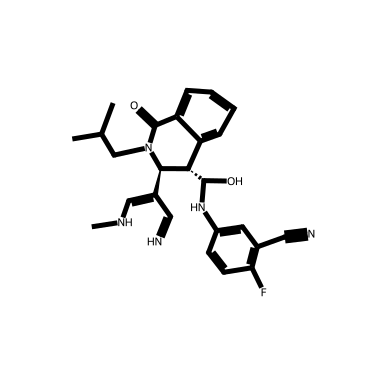 CN/C=C(\C=N)[C@@H]1[C@@H](C(O)Nc2ccc(F)c(C#N)c2)c2ccccc2C(=O)N1CC(C)C